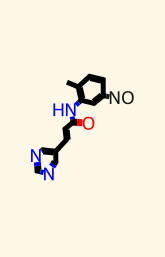 Cc1ccc(N=O)cc1NC(=O)/C=C/c1cncnc1